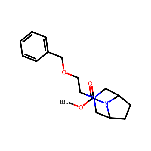 CC(C)(C)OC(=O)N1C2CCC1CN(CCOCc1ccccc1)C2